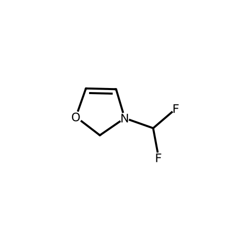 FC(F)N1C=COC1